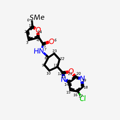 CSc1ccc(C(=O)NC2CCC(c3nc4cc(Cl)cnc4o3)CC2)o1